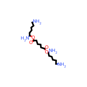 NCCCCCC(N)OC(=O)CCCCC(=O)OC(N)CCCCCN